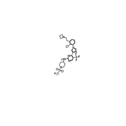 CS(=O)(=O)N1CCC(Nc2ncc(C(F)(F)F)c(-c3cn(-c4cccc(CCN5CCC5)c4Cl)cn3)n2)CC1